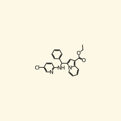 CCOC(=O)c1cc(C(Nc2ccc(Cl)cn2)c2ccccc2)n2ccccc12